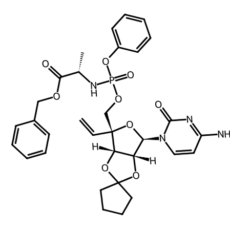 C=C[C@]1(COP(=O)(N[C@@H](C)C(=O)OCc2ccccc2)Oc2ccccc2)O[C@@H](n2ccc(N)nc2=O)[C@@H]2OC3(CCCC3)O[C@@H]21